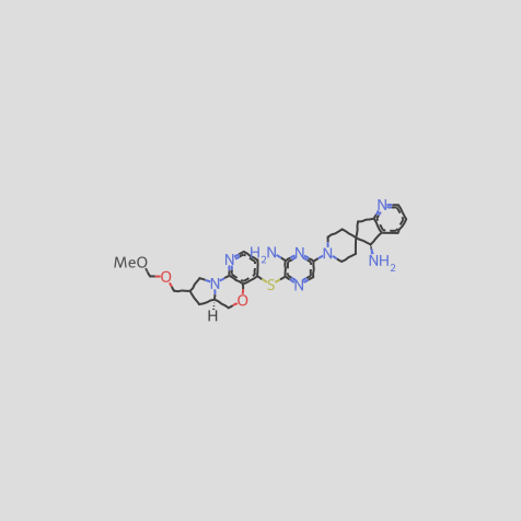 COCOCC1C[C@@H]2COc3c(Sc4ncc(N5CCC6(CC5)Cc5ncccc5[C@H]6N)nc4N)ccnc3N2C1